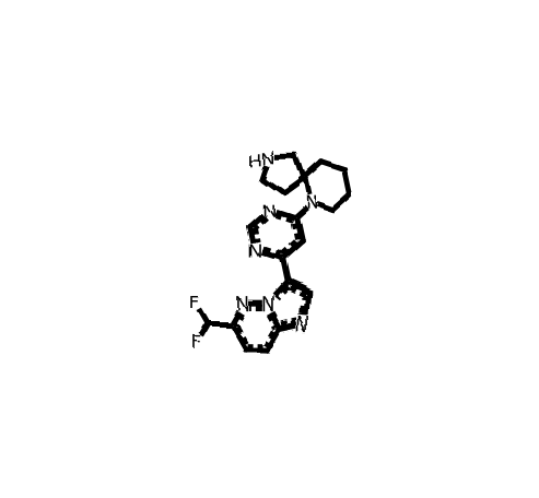 FC(F)c1ccc2ncc(-c3cc(N4CCCCC45CCNC5)ncn3)n2n1